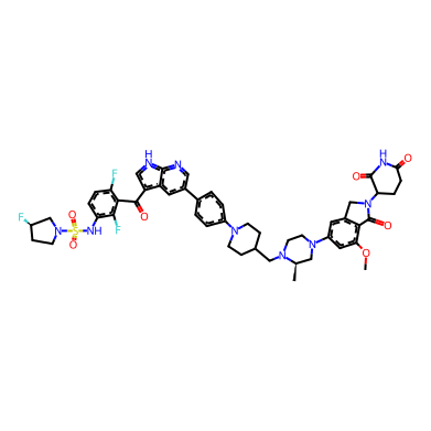 COc1cc(N2CCN(CC3CCN(c4ccc(-c5cnc6[nH]cc(C(=O)c7c(F)ccc(NS(=O)(=O)N8CC[C@@H](F)C8)c7F)c6c5)cc4)CC3)[C@H](C)C2)cc2c1C(=O)N(C1CCC(=O)NC1=O)C2